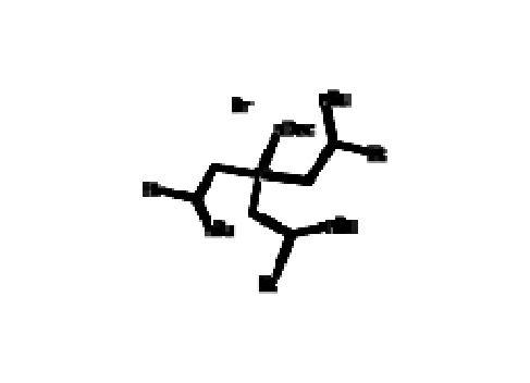 CCCCCCCCCC[P+](CC(CC)CCCC)(CC(CC)CCCC)CC(CC)CCCC.[Br-]